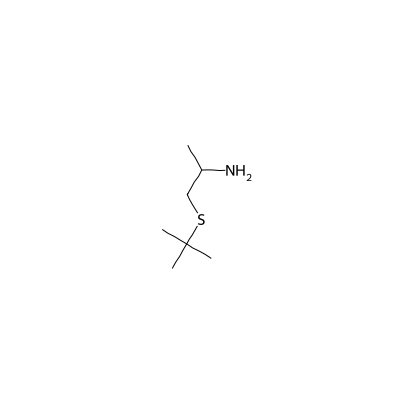 CC(N)CSC(C)(C)C